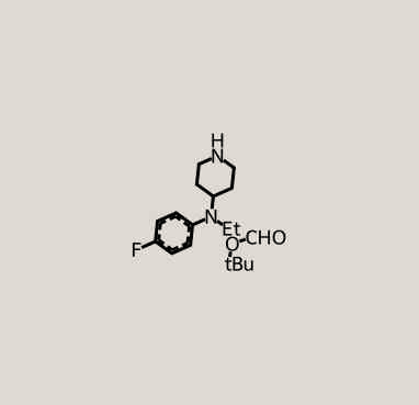 CC(C)(C)OC=O.CCN(c1ccc(F)cc1)C1CCNCC1